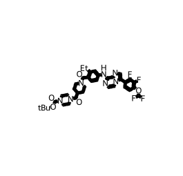 CCc1cc(Nc2nccn3c(-c4ccc(OC(F)F)c(F)c4F)cnc23)ccc1C(=O)N1CCC(C(=O)N2CCN(C(=O)OC(C)(C)C)CC2)CC1